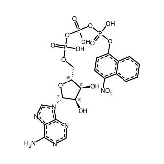 Nc1ncnc2c1ncn2[C@@H]1O[C@H](COP(=O)(O)OP(=O)(O)OP(=O)(O)Oc2ccc([N+](=O)[O-])c3ccccc23)[C@@H](O)[C@H]1O